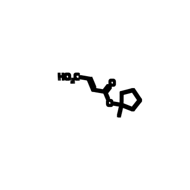 CC1(OC(=O)C=CC(=O)O)CCCC1